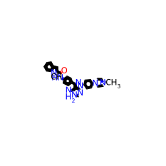 CN1CCN([C@H]2CC[C@@H](n3nc(-c4ccc(NC(=O)c5cc6ccccc6n5C)cc4)c4c(N)ncnc43)CC2)CC1